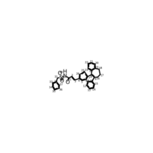 O=C(/C=C/c1ccc(C2=C(c3ccccc3)CCCc3ccccc32)cc1)NS(=O)(=O)Cc1ccccc1